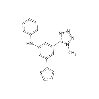 Cn1nnnc1-c1cc(Nc2ccccc2)cc(-c2cccs2)c1